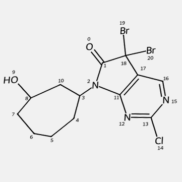 O=C1N(C2CCCCC(O)C2)c2nc(Cl)ncc2C1(Br)Br